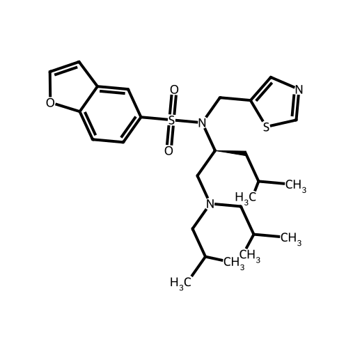 CC(C)C[C@@H](CN(CC(C)C)CC(C)C)N(Cc1cncs1)S(=O)(=O)c1ccc2occc2c1